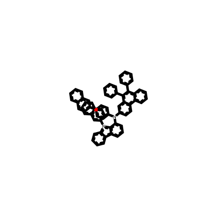 c1ccc(-c2c(-c3ccccc3)c3cc(N(c4ccc(-c5ccc6ccccc6c5)cc4)c4cccc5c6ccccc6n(-c6ccc7ccccc7c6)c45)ccc3c3ccccc23)cc1